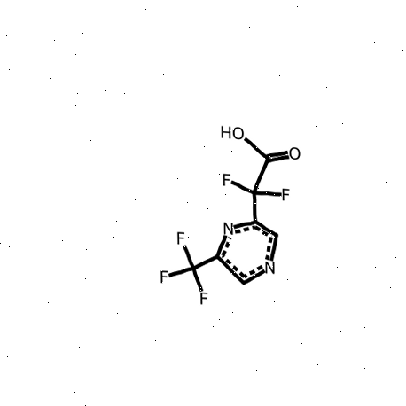 O=C(O)C(F)(F)c1cncc(C(F)(F)F)n1